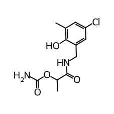 Cc1cc(Cl)cc(CNC(=O)C(C)OC(N)=O)c1O